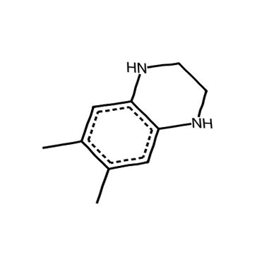 Cc1cc2c(cc1C)NCCN2